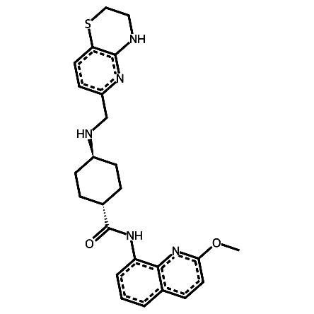 COc1ccc2cccc(NC(=O)[C@H]3CC[C@H](NCc4ccc5c(n4)NCCS5)CC3)c2n1